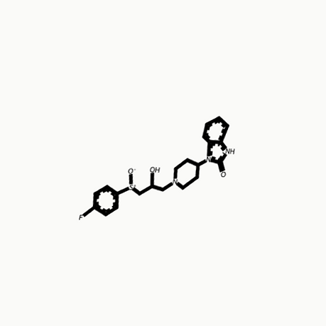 O=c1[nH]c2ccccc2n1C1CCN(CC(O)C[S+]([O-])c2ccc(F)cc2)CC1